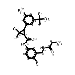 CC(F)(F)c1cc(C2C(C(=O)Nc3ccc(F)c(CNC(=O)CC(F)(F)F)c3)C2(Cl)Cl)cc(C(F)(F)F)c1